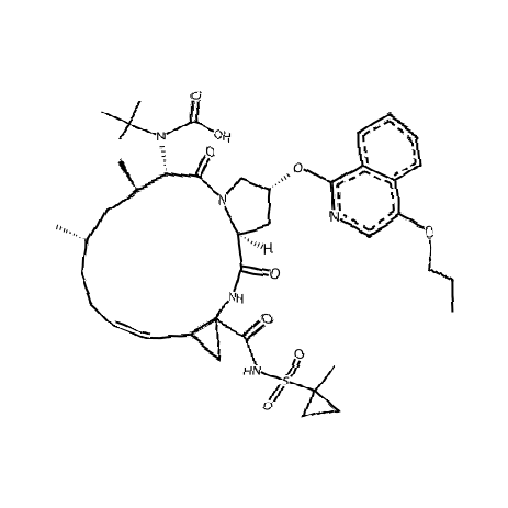 CCCOc1cnc(O[C@@H]2C[C@H]3C(=O)NC4(C(=O)NS(=O)(=O)C5(C)CC5)CC4/C=C\CC[C@H](C)C[C@@H](C)[C@H](N(C(=O)O)C(C)(C)C)C(=O)N3C2)c2ccccc12